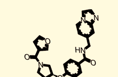 O=C(NCc1ccn2ccnc2c1)c1ccc(O[C@H]2CCN(C(=O)c3ccoc3)C2)cc1